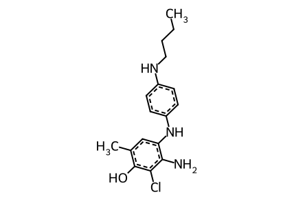 CCCCNc1ccc(Nc2cc(C)c(O)c(Cl)c2N)cc1